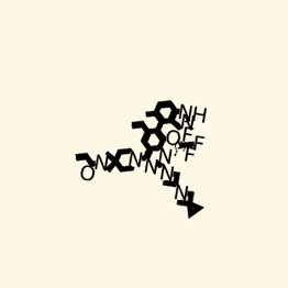 C=CC(=O)N1CC2(CCN(c3nc(N4CC(N5CC6(CC6)C5)C4)nc4c(O[C@@H](C)C(F)(F)F)c(-c5c(C)ccc6[nH]ncc56)c(C=C)cc34)CC2)C1